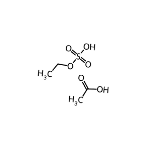 CC(=O)O.CCOS(=O)(=O)O